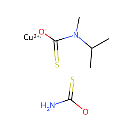 CC(C)N(C)C([O-])=S.NC([O-])=S.[Cu+2]